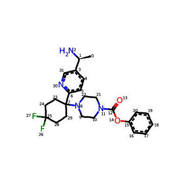 C[C@H](N)c1ccc(C2(N3CCN(C(=O)Oc4ccccc4)CC3)CCC(F)(F)CC2)nc1